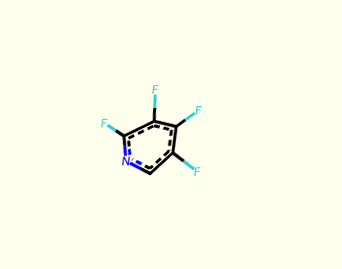 Fc1cnc(F)c(F)c1F